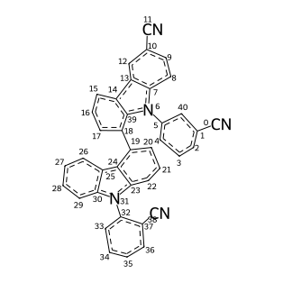 N#Cc1cccc(-n2c3ccc(C#N)cc3c3cccc(-c4cccc5c4c4ccccc4n5-c4ccccc4C#N)c32)c1